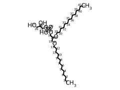 CCCCCCCCCCCCCCOCC(COP(=O)(O)OCC(O)CO)OCCCCCCCCCCCCCC